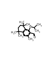 Cc1cc2c(c(OC(C)C)c1C=O)C(C)(C)CCC2(C)C